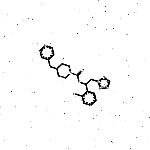 O=C(OC(Cn1ncnn1)c1ccccc1Cl)N1CCC(Cc2ccncc2)CC1